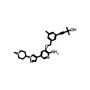 Cc1cc(C#CC(C)(C)O)cc(COc2cc(-c3cnn(C4CCN(C)CC4)c3)cnc2N)c1